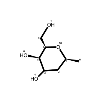 C[C@H]1CC(O)[C@@H](O)[C@@H](CO)O1